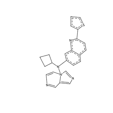 C1=C[N+]2(N(c3ccc4ccc(-c5cccs5)nc4c3)C3CCC3)C=NC=C2C=N1